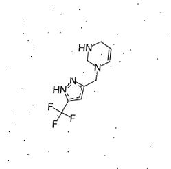 FC(F)(F)c1cc(CN2C=CCNC2)n[nH]1